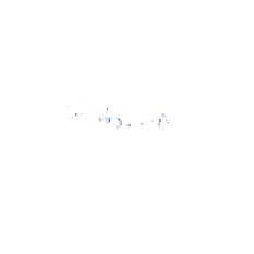 CC(=O)N1CCC(CC(N)Cc2ccc(-c3ccccc3F)cc2Cl)(C(=O)O)C1